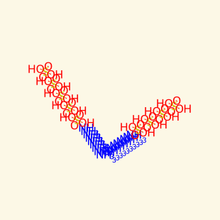 N.N.N.N.N.N.N.N.N.N.N.N.N.N.N.N.N.N.O=S(=O)(O)O.O=S(=O)(O)O.O=S(=O)(O)O.O=S(=O)(O)O.O=S(=O)(O)O.O=S(=O)(O)O.O=S(=O)(O)O.O=S(=O)(O)O.O=S(=O)(O)O